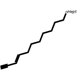 C#CC=CCCCCCCCCCCCCCC